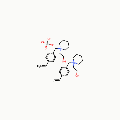 C=Cc1ccc(C[N+]2(CCO)CCCCC2)cc1.C=Cc1ccc(C[N+]2(CCO)CCCCC2)cc1.O=[As]([O-])([O-])O